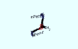 C=Cc1cc(OCCCCCCCC/C=C\C/C=C\CCCCC)cc(OCCCCCCCC/C=C\C/C=C\CCCCC)c1